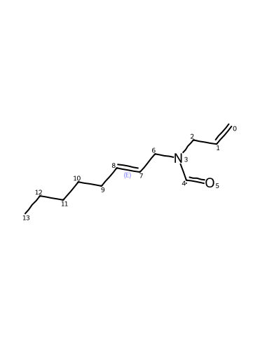 C=CCN([C]=O)C/C=C/CCCCC